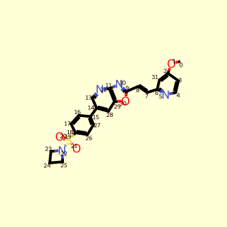 COc1ccnc(C=Cc2nc3ncc(-c4ccc(S(=O)(=O)N5CCC5)cc4)cc3o2)c1